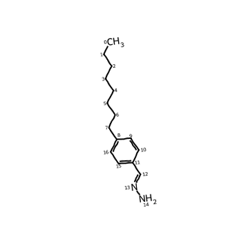 CCCCCCCCc1ccc(C=NN)cc1